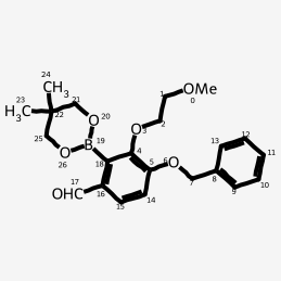 COCCOc1c(OCc2ccccc2)ccc(C=O)c1B1OCC(C)(C)CO1